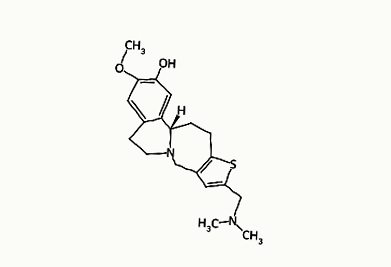 COc1cc2c(cc1O)[C@@H]1CCc3sc(CN(C)C)cc3CN1CC2